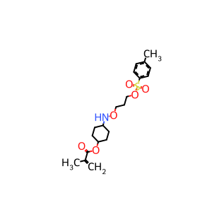 C=C(C)C(=O)OC1CCC(NOCCCOS(=O)(=O)c2ccc(C)cc2)CC1